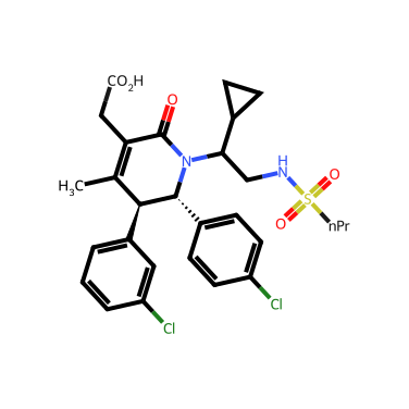 CCCS(=O)(=O)NCC(C1CC1)N1C(=O)C(CC(=O)O)=C(C)[C@H](c2cccc(Cl)c2)[C@H]1c1ccc(Cl)cc1